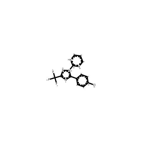 FC(F)(F)c1nc(-c2ccc(Cl)cc2)n(-c2ncccn2)n1